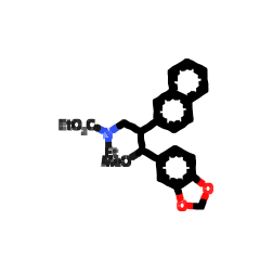 CCOC(=O)N(CC)CC(c1ccc2ccccc2c1)C(OC)c1ccc2c(c1)OCO2